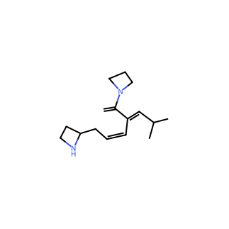 C=C(C(/C=C\CC1CCN1)=C/C(C)C)N1CCC1